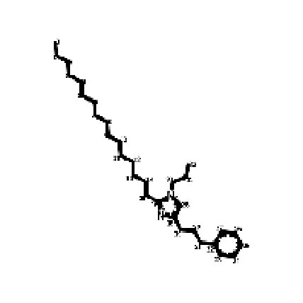 CCCCCCCCCCCCCCCCc1nc(CCCc2ccccc2)cn1CCC